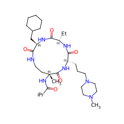 CC[C@@H]1NC(=O)[C@H](CCCN2CCN(C)CC2)NC(=O)[C@](C)(NC(=O)C(C)C)CCNC(=O)[C@@H](CC2CCCCC2)NC1=O